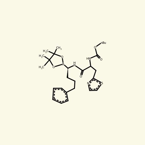 CCCCOC(=O)NC(Cc1nccs1)C(=O)N[C@@H](CCCc1ccccc1)B1OC(C)(C)C(C)(C)O1